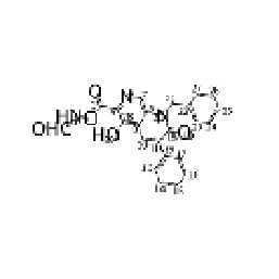 O=CNOC(=O)c1ncc2c(cc(-c3ccccc3)c(=O)n2Cc2ccccc2)c1O